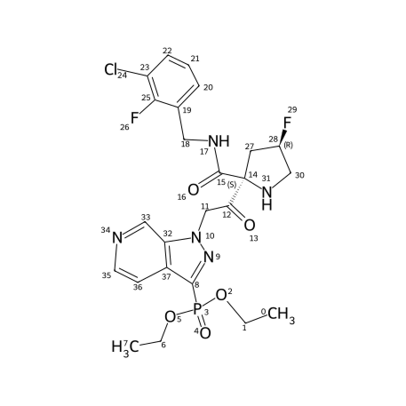 CCOP(=O)(OCC)c1nn(CC(=O)[C@]2(C(=O)NCc3cccc(Cl)c3F)C[C@@H](F)CN2)c2cnccc12